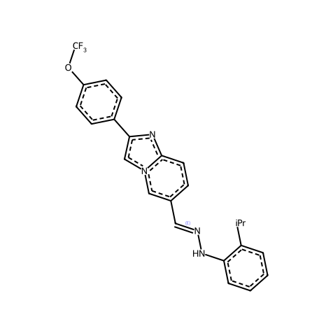 CC(C)c1ccccc1N/N=C/c1ccc2nc(-c3ccc(OC(F)(F)F)cc3)cn2c1